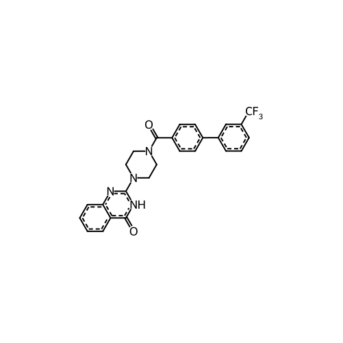 O=C(c1ccc(-c2cccc(C(F)(F)F)c2)cc1)N1CCN(c2nc3ccccc3c(=O)[nH]2)CC1